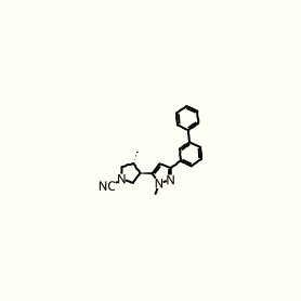 C[C@H]1CN(C#N)C[C@@H]1c1cc(-c2cccc(-c3ccccc3)c2)nn1C